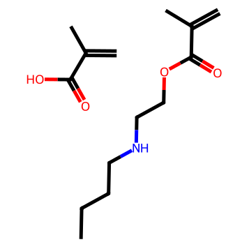 C=C(C)C(=O)O.C=C(C)C(=O)OCCNCCCC